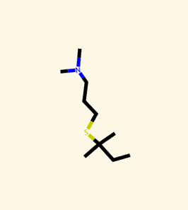 CCC(C)(C)SCCCN(C)C